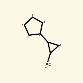 CC(=O)C1CC1C1CCCC1